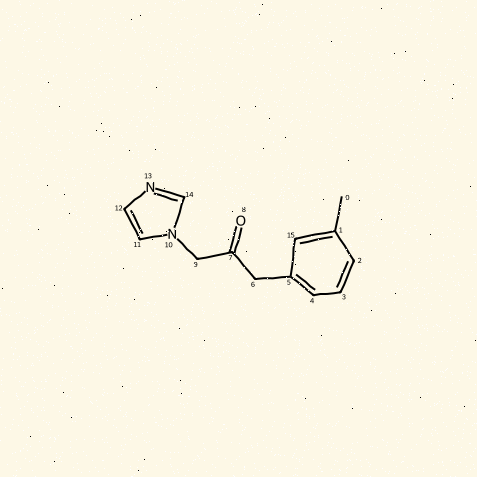 Cc1cccc(CC(=O)Cn2ccnc2)c1